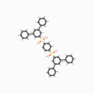 O=S(=O)(c1ccc(S(=O)(=O)c2cc(-c3ccccc3)cc(-c3ccccc3)c2)cc1)c1cc(-c2ccccc2)cc(-c2ccccc2)c1